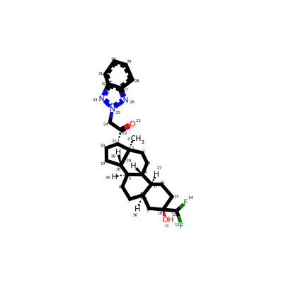 C[C@]12CC[C@H]3[C@@H](CC[C@@H]4C[C@@](O)(C(F)F)CC[C@@H]43)[C@@H]1CC[C@@H]2C(=O)Cn1nc2ccccc2n1